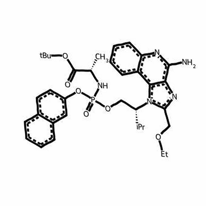 CCOCc1nc2c(N)nc3ccccc3c2n1[C@@H](COP(=O)(N[C@@H](C)C(=O)OC(C)(C)C)Oc1ccc2ccccc2c1)C(C)C